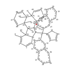 CC1=CC=CC2C(C(C3=CC=CC3)(c3ccc4ccccc4c3)c3ccc4ccccc4c3)C3(C)C4(C)C=CC=CC4(C)C4(C)C=CC=CC4(C)C3(C)C12C